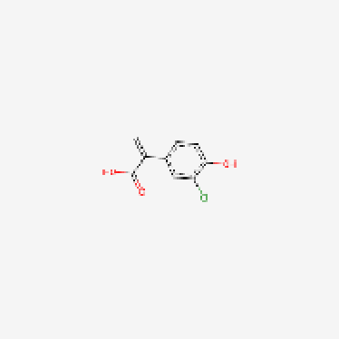 C=C(C(=O)O)c1ccc(O)c(Cl)c1